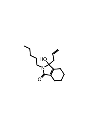 C=CCC1(O)C2=C(CCCC2)C(=O)N1CCCCC